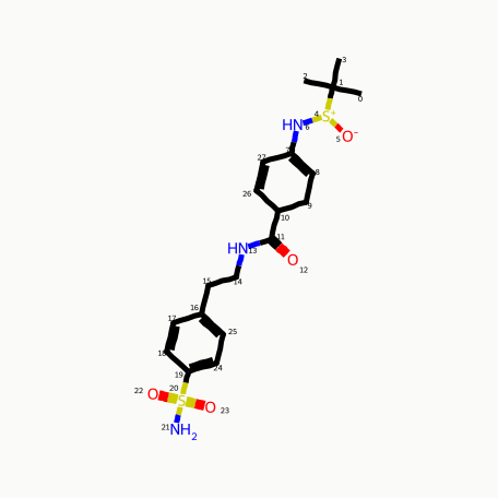 CC(C)(C)[S+]([O-])NC1=CCC(C(=O)NCCc2ccc(S(N)(=O)=O)cc2)C=C1